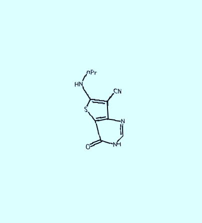 CCCNc1sc2c(=O)[nH]cnc2c1C#N